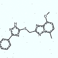 COc1ccc(C)n2nc(CSc3nc(-c4ccccc4)n[nH]3)nc12